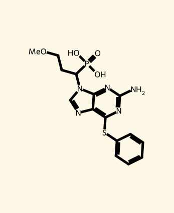 COCCC(n1cnc2c(Sc3ccccc3)nc(N)nc21)P(=O)(O)O